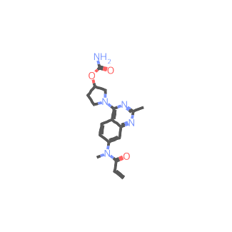 C=CC(=O)N(C)c1ccc2c(N3CCC(OC(N)=O)C3)nc(C)nc2c1